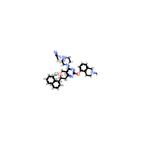 CN1CCc2c(cccc2Oc2nc3c(c(N4CCN[C@@H](CC#N)C4)n2)COC(c2cccc4cccc(Cl)c24)C3)C1